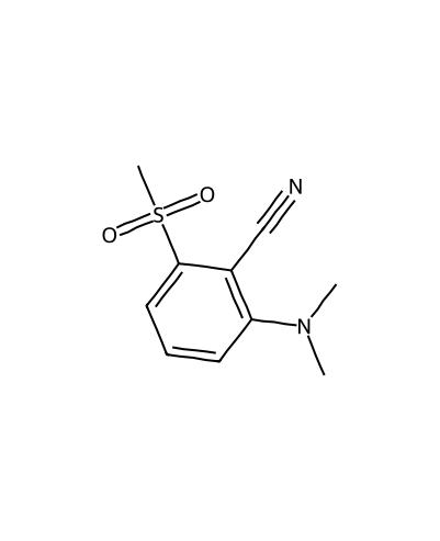 CN(C)c1cccc(S(C)(=O)=O)c1C#N